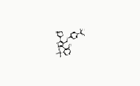 O=C(O)c1ccc(OCc2c(-c3c(Cl)cccc3C(F)(F)F)noc2C2=CNCC2)cc1